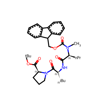 CCC[C@@H](C(=O)N[C@H](C(=O)N1CCC[C@H]1C(=O)OC(C)(C)C)[C@@H](C)CC)N(C)C(=O)OCC1c2ccccc2-c2ccccc21